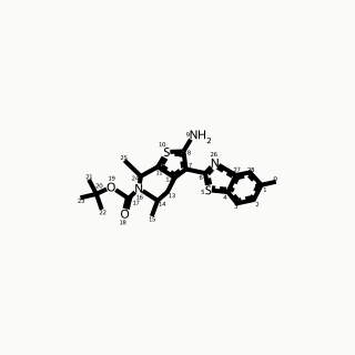 Cc1ccc2sc(-c3c(N)sc4c3CC(C)N(C(=O)OC(C)(C)C)C4C)nc2c1